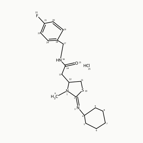 CN1C(=NC2CCCCC2)SCC1CC(=O)NCc1ccc(F)cc1.Cl